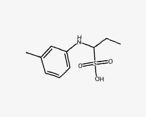 CCC(Nc1cccc(C)c1)S(=O)(=O)O